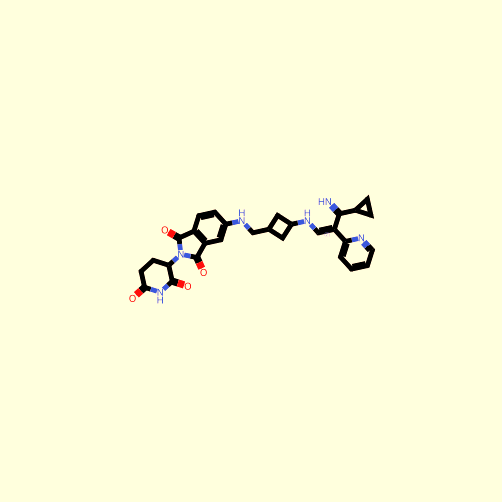 N=C(/C(=C\NC1CC(CNc2ccc3c(c2)C(=O)N(C2CCC(=O)NC2=O)C3=O)C1)c1ccccn1)C1CC1